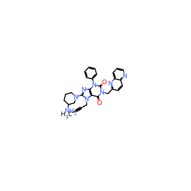 CC#CCn1c(N2CCCC(N)C2)nc2c1c(=O)n(Cc1ccc3ncccc3n1)c(=O)n2-c1ccccc1